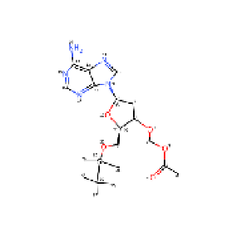 CC(=O)OCOC1C[C@H](n2cnc3c(N)ncnc32)O[C@@H]1CO[Si](C)(C)C(C)(C)C